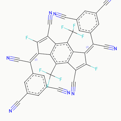 N#CC1=C(F)/C(=C(\C#N)c2cc(C#N)cc(C#N)c2)c2c1c(C(F)(F)F)c1c(c2C(F)(F)F)C(C#N)=C(F)/C1=C(\C#N)c1cc(C#N)cc(C#N)c1